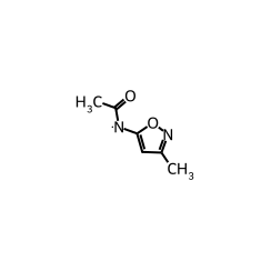 CC(=O)[N]c1cc(C)no1